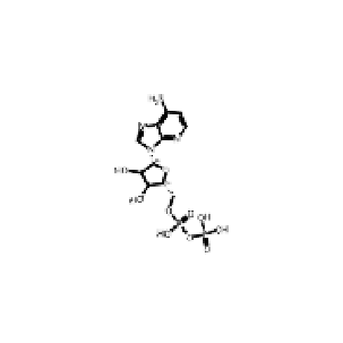 Nc1ccnc2c1ncn2[C@@H]1O[C@H](COP(=O)(O)OP(=O)(O)O)C(O)C1O